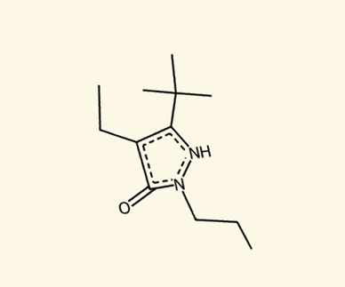 CCCn1[nH]c(C(C)(C)C)c(CC)c1=O